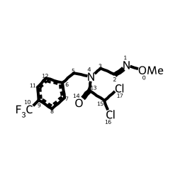 CON=CCN(Cc1ccc(C(F)(F)F)cc1)C(=O)C(Cl)Cl